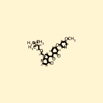 COc1cncc(Oc2ccc(C(=O)c3cn(COCC[Si](C)(C)C)c4nccc(Cl)c34)c(Cl)c2)c1